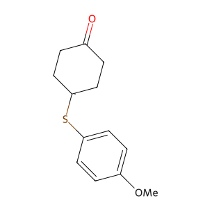 COc1ccc(S[C]2CCC(=O)CC2)cc1